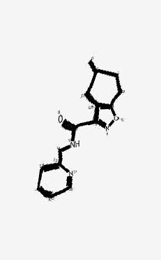 CC1CCc2onc(C(=O)NCc3ccccn3)c2C1